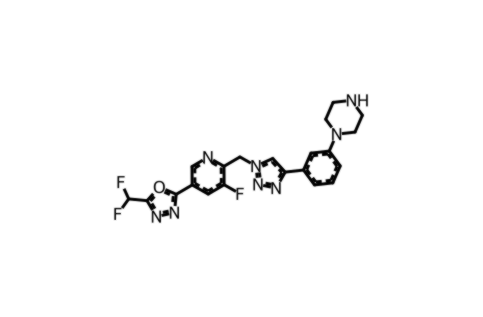 Fc1cc(-c2nnc(C(F)F)o2)cnc1Cn1cc(-c2cccc(N3CCNCC3)c2)nn1